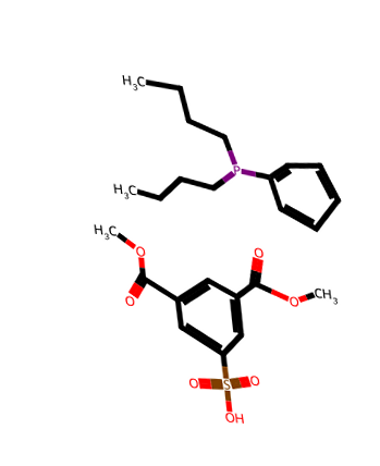 CCCCP(CCCC)c1ccccc1.COC(=O)c1cc(C(=O)OC)cc(S(=O)(=O)O)c1